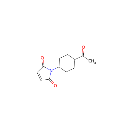 CC(=O)C1CCC(N2C(=O)C=CC2=O)CC1